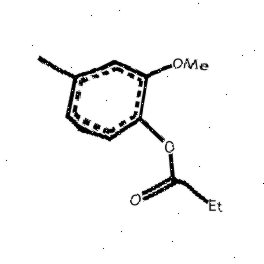 CCC(=O)Oc1ccc(C)cc1OC